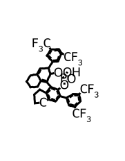 O=P1(O)Oc2c(-c3cc(C(F)(F)F)cc(C(F)(F)F)c3)cc3c(c2C2=C4CCCCC4=CC(c4cc(C(F)(F)F)cc(C(F)(F)F)c4)C2O1)CCCC3